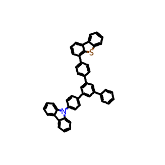 c1ccc(-c2cc(-c3ccc(-c4cccc5c4sc4ccccc45)cc3)cc(-c3ccc(-n4c5ccccc5c5ccccc54)cc3)c2)cc1